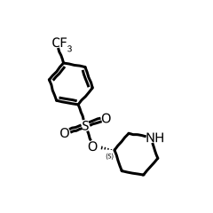 O=S(=O)(O[C@H]1CCCNC1)c1ccc(C(F)(F)F)cc1